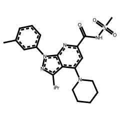 Cc1cccc(-n2nc(C(C)C)c3c(N4CCCCC4)cc(C(=O)NS(C)(=O)=O)nc32)c1